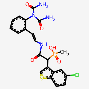 CP(=O)(O)C(C(=O)N/C=C/c1ccccc1N(C(N)=O)C(N)=O)c1csc2ccc(Cl)cc12